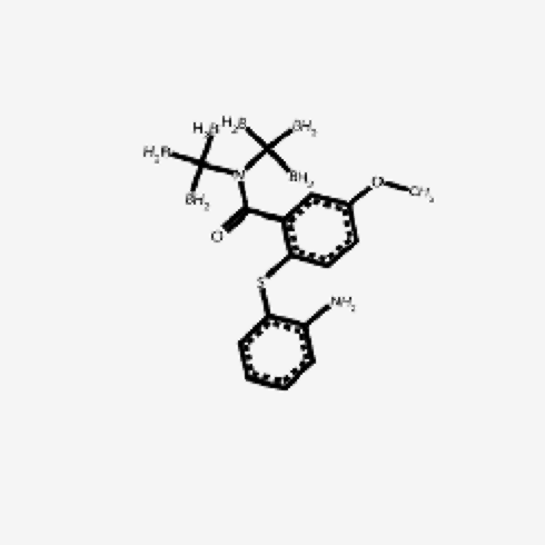 BC(B)(B)N(C(=O)c1cc(OC)ccc1Sc1ccccc1N)C(B)(B)B